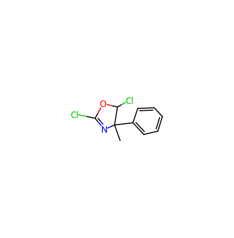 CC1(c2ccccc2)N=C(Cl)OC1Cl